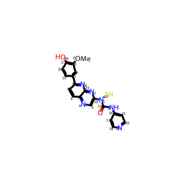 COc1cc(-c2ccc3ncc(N(S)C(=O)Nc4ccncc4)nc3n2)ccc1O